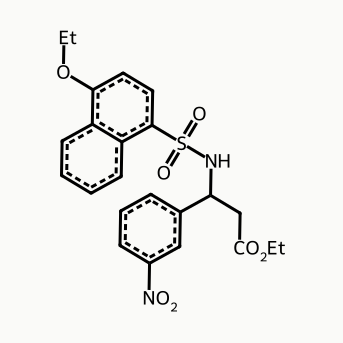 CCOC(=O)CC(NS(=O)(=O)c1ccc(OCC)c2ccccc12)c1cccc([N+](=O)[O-])c1